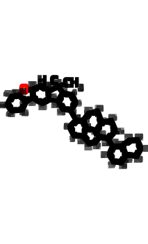 CC1(C)c2ccc(-c3ccc4ccc5c(-c6cccc7ccccc67)ccc6ccc3c4c65)cc2-c2cc3c(cc21)oc1ccccc13